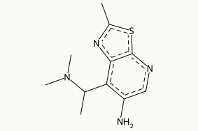 Cc1nc2c(C(C)N(C)C)c(N)cnc2s1